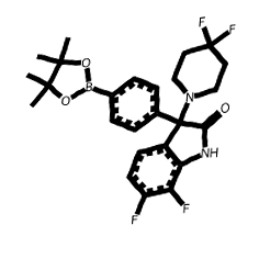 CC1(C)OB(c2ccc(C3(N4CCC(F)(F)CC4)C(=O)Nc4c3ccc(F)c4F)cc2)OC1(C)C